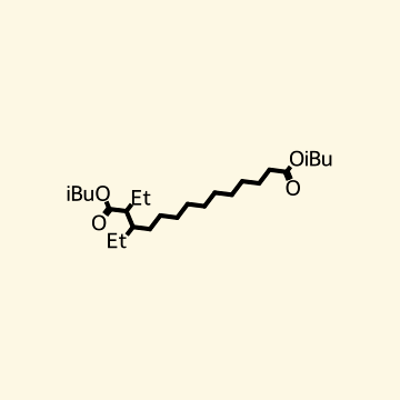 CCC(CCCCCCCCCCC(=O)OCC(C)C)C(CC)C(=O)OCC(C)C